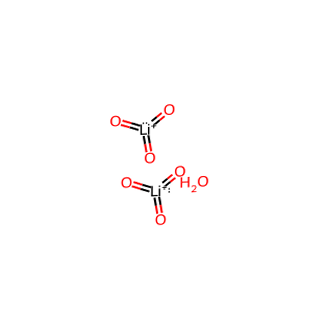 O.[O]=[Li+](=[O])=[O].[O]=[Li+](=[O])=[O]